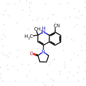 CC1(C)C=C(N2CCCC2=O)c2cccc(C#N)c2N1